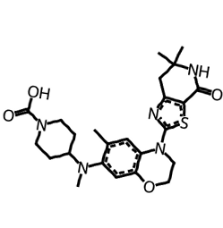 Cc1cc2c(cc1N(C)C1CCN(C(=O)O)CC1)OCCN2c1nc2c(s1)C(=O)NC(C)(C)C2